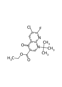 CCOC(=O)c1cn(C(C)(C)C)c2nc(F)c(Cl)cc2c1=O